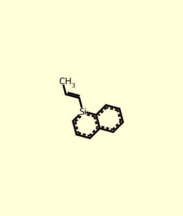 CC=C[si]1cccc2ccccc21